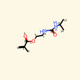 C=C(C)C(=O)OCCNC(=O)NC(C)C